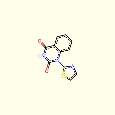 O=c1[nH]c(=O)n(-c2nccs2)c2ccccc12